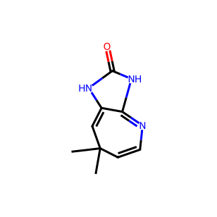 CC1(C)C=CN=c2[nH]c(=O)[nH]c2=C1